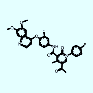 COc1cc2nccc(Oc3ccc(NC(=O)c4c(C)c(C(C)=O)cn(-c5ccc(F)cc5)c4=O)cc3F)c2cc1OC